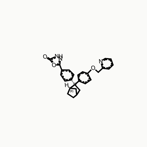 O=c1[nH]nc(-c2ccc([C@]3(c4ccc(OCc5ccccn5)cc4)CC4CC[C@@H]3C4)cc2)o1